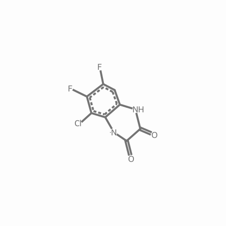 O=C1[N]c2c(cc(F)c(F)c2Cl)NC1=O